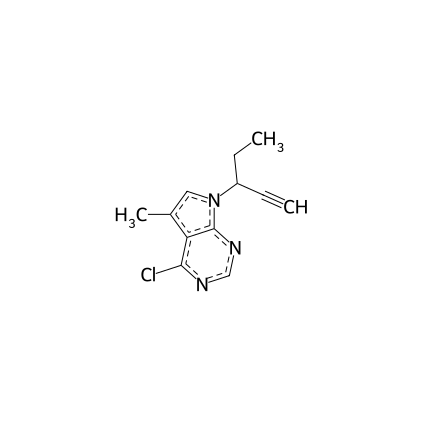 C#CC(CC)n1cc(C)c2c(Cl)ncnc21